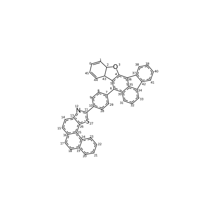 C1=CC2Oc3c(c(-c4ccc(-c5nc6ccc7ccc8ccccc8c7c6s5)cc4)c4cccc5c4c3-c3ccccc3-5)C2C=C1